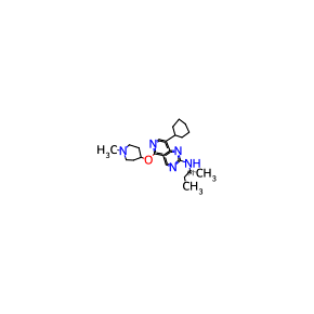 CC[C@@H](C)Nc1ncc2c(OC3CCN(C)CC3)ncc(C3CCCCC3)c2n1